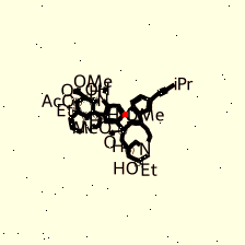 CC[C@]1(O)C[C@H]2CN(CCc3c([nH]c4ccc(C#CC(C)C)cc34)[C@@](C(=O)OC)(c3cc4c(cc3OC)N(C)[C@H]3[C@@](O)(C(=O)OC)[C@H](OC(C)=O)[C@]5(CC)C=CCN6CC[C@]43[C@@H]65)C2)C1